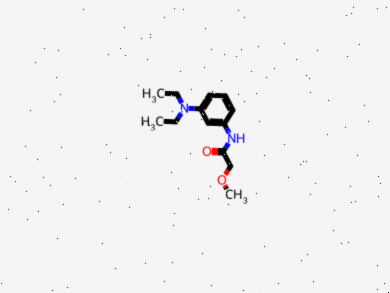 CCN(CC)c1cccc(NC(=O)COC)c1